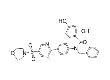 Cc1cc(S(=O)(=O)N2CCOCC2)cnc1-c1ccc(N(Cc2ccccc2)C(=O)c2ccc(O)cc2O)cc1